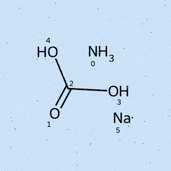 N.O=C(O)O.[Na]